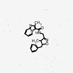 Cc1nc2ccccn2c1C(=O)NCC1=NOC(Cc2ccccc2)C1C